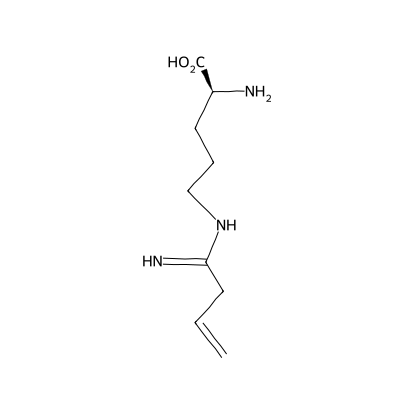 C=CCC(=N)NCCC[C@H](N)C(=O)O